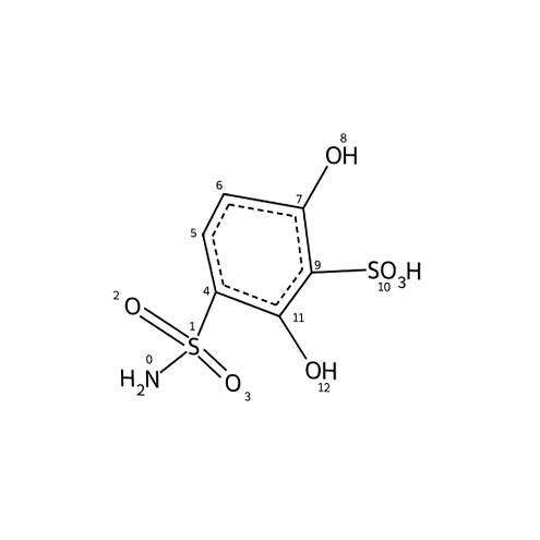 NS(=O)(=O)c1ccc(O)c(S(=O)(=O)O)c1O